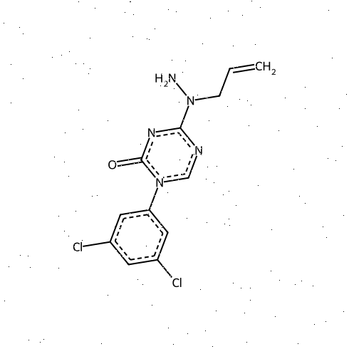 C=CCN(N)c1ncn(-c2cc(Cl)cc(Cl)c2)c(=O)n1